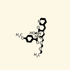 CCOCOC[C@H](C[C@H](Cc1cccnc1)C(=O)NO)NC(=O)c1ccc(OC)cc1